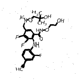 C#Cc1ccc(Nc2c(C(=O)NOCCO)cc(CN(OCC(C)(C)O)C(C)=O)c(F)c2F)c(F)c1